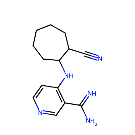 N#CC1CCCCCC1Nc1ccncc1C(=N)N